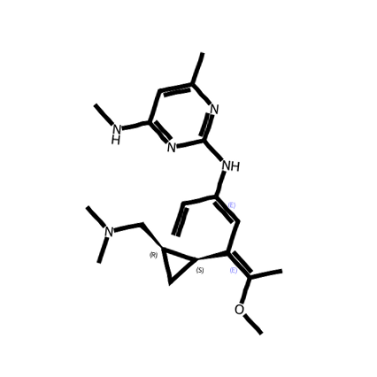 C=C/C(=C\C(=C(/C)OC)[C@H]1C[C@H]1CN(C)C)Nc1nc(C)cc(NC)n1